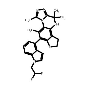 Cc1c(-c2cccc3c2ccn3CC(F)F)c2c(c3c1-n1c(C)nnc1C(C)(C)N3)CCO2